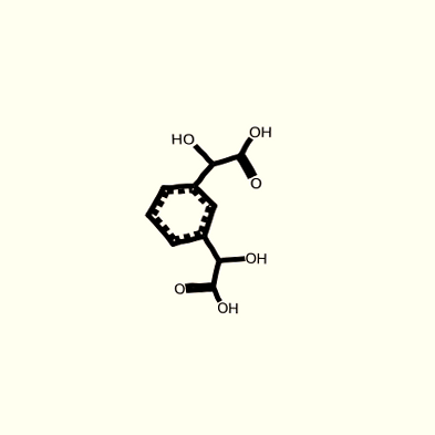 O=C(O)C(O)c1cccc(C(O)C(=O)O)c1